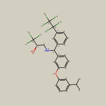 CC(C)c1cccc(Oc2cccc(C(NC[C@@H](O)C(F)(F)F)c3cccc(C(F)(F)C(F)(F)F)c3)c2)c1